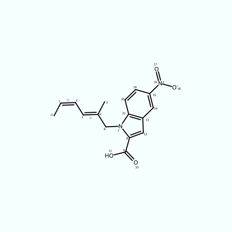 C/C=C\C=C(/C)Cn1c(C(=O)O)cc2cc([N+](=O)[O-])ccc21